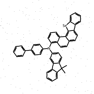 CC1(C)c2ccccc2-c2cc(N(c3ccc(-c4ccccc4)cc3)c3cccc4c3ccc3ccc5c6ccccc6[se]c5c34)ccc21